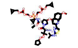 C=C[C@@H]1C[C@]1(NC(=O)[C@@H]1CC(Oc2cc(C3=CSC(NC(C)C)N3)nc3cc(OC)ccc23)CN1C(=O)[C@@H](N)C(C)(C)OOC1CCCC1)P(=O)(OCOC(=O)OCC1CC1)OCOC(=O)OCC1CC1